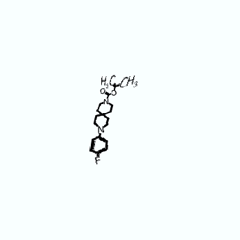 C=C(C)OC(=O)N1CCC2(CC1)CCN(c1ccc(F)cc1)CC2